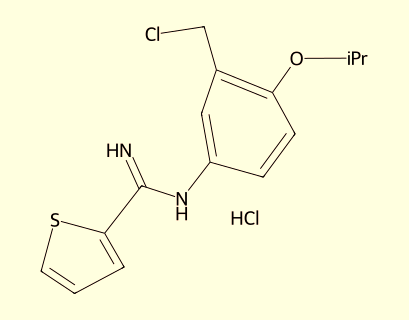 CC(C)Oc1ccc(NC(=N)c2cccs2)cc1CCl.Cl